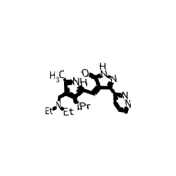 CCN(CC)Cc1c(C)[nH]c(C=C2C(=O)NN=C2c2cccnn2)c1C(C)C